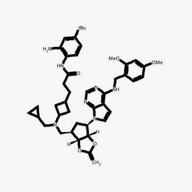 C=C1O[C@@H]2[C@@H](CN(CC3CC3)C3CC(CCC(=O)Nc4ccc(C(C)(C)C)cc4N)C3)C[C@@H](n3ccc4c(NCc5ccc(OC)cc5OC)ncnc43)[C@@H]2O1